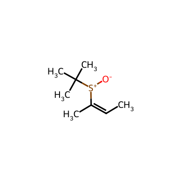 CC=C(C)[S+]([O-])C(C)(C)C